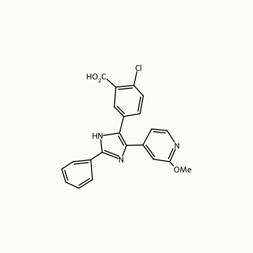 COc1cc(-c2nc(-c3ccccc3)[nH]c2-c2ccc(Cl)c(C(=O)O)c2)ccn1